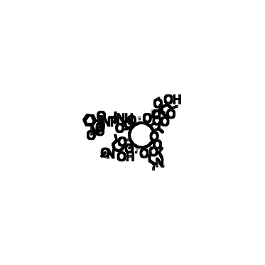 CO/N=C1\C[C@@H](C)O[C@@H](O[C@@H]2[C@@H](C)[C@H](O[C@H]3C[C@H](C)N(C)C[C@H](C)O3)[C@@H](C)C(=O)O[C@H](C(C)CO[C@@H]3O[C@H](C)[C@@H](O)[C@@H](OC)[C@H]3OC)[C@H](C)[C@@H](OC(=O)CC(C)C)[C@@H](C)C(=O)[C@@](C)(OC(=O)NC(C)(C)CNS(=O)(=O)c3ccccc3[N+](=O)[O-])C[C@@H]2C)[C@@H]1O